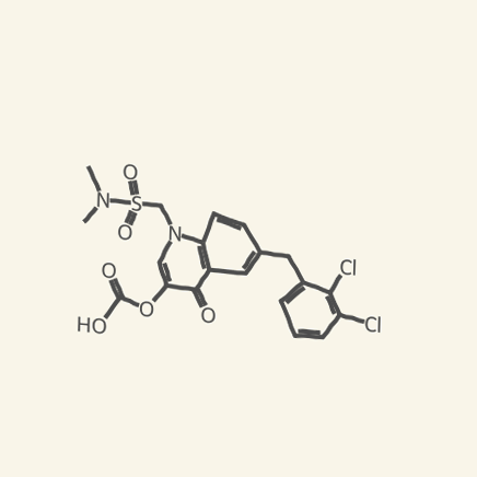 CN(C)S(=O)(=O)Cn1cc(OC(=O)O)c(=O)c2cc(Cc3cccc(Cl)c3Cl)ccc21